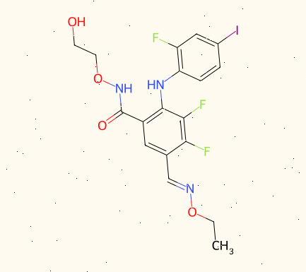 CCO/N=C/c1cc(C(=O)NOCCO)c(Nc2ccc(I)cc2F)c(F)c1F